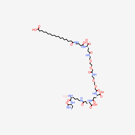 BN[C@@H](CCCCNC(=O)CC[C@H](NC(=O)CC[C@H](NC(=O)COCCOCCNC(=O)COCCOCCNC(=O)CC[C@H](NC(=O)CCCNC(=O)CCCCCCCCCCCCCCCCC(=O)O)C(=O)O)C(=O)O)C(=O)O)C(=O)N[C@@H](CC)C(N)=O